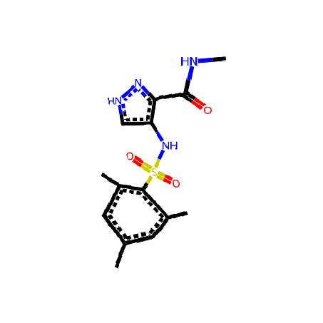 CNC(=O)c1n[nH]cc1NS(=O)(=O)c1c(C)cc(C)cc1C